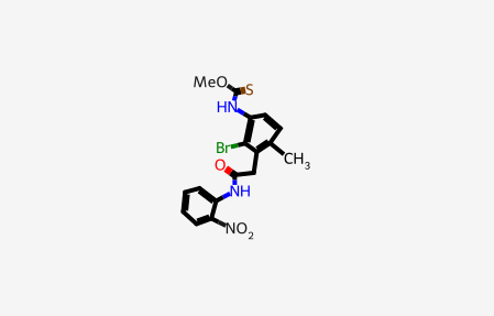 COC(=S)Nc1ccc(C)c(CC(=O)Nc2ccccc2[N+](=O)[O-])c1Br